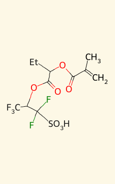 C=C(C)C(=O)OC(CC)C(=O)OC(C(F)(F)F)C(F)(F)S(=O)(=O)O